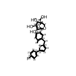 Cc1ccc([C@]23OC[C@](CO)(O2)[C@@H](O)[C@H](O)[C@H]3O)cc1Cc1ccc(-c2ccc(F)cc2)s1